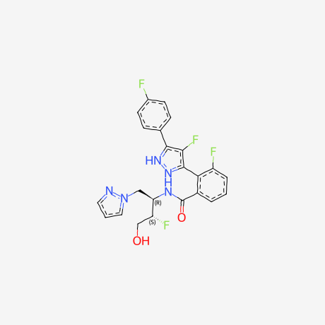 O=C(N[C@H](Cn1cccn1)[C@H](F)CO)c1cccc(F)c1-c1n[nH]c(-c2ccc(F)cc2)c1F